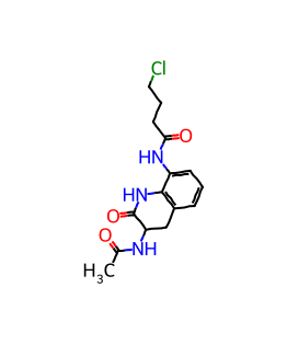 CC(=O)NC1Cc2cccc(NC(=O)CCCCl)c2NC1=O